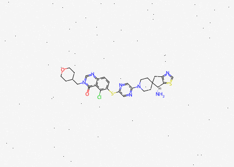 N[C@H]1c2scnc2CC12CCN(c1cnc(Sc3ccc4ncn(CC5CCOCC5)c(=O)c4c3Cl)cn1)CC2